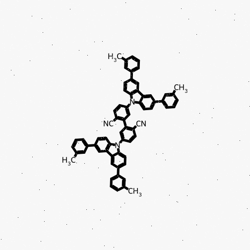 Cc1cccc(-c2ccc3c(c2)c2cc(-c4cccc(C)c4)ccc2n3-c2ccc(C#N)c(-c3cc(-n4c5ccc(-c6cccc(C)c6)cc5c5cc(-c6cccc(C)c6)ccc54)ccc3C#N)c2)c1